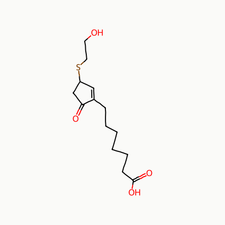 O=C(O)CCCCCCC1=CC(SCCO)CC1=O